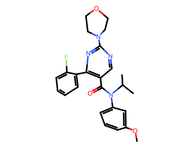 COc1cccc(N(C(=O)c2cnc(N3CCOCC3)nc2-c2ccccc2F)C(C)C)c1